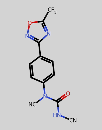 N#CNC(=O)N(C#N)c1ccc(-c2noc(C(F)(F)F)n2)cc1